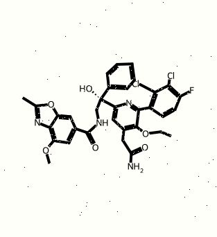 CCOc1c(CC(N)=O)cc([C@@](O)(CNC(=O)c2cc(OC)c3nc(C)oc3c2)c2ccccc2)nc1-c1ccc(F)c(Cl)c1Cl